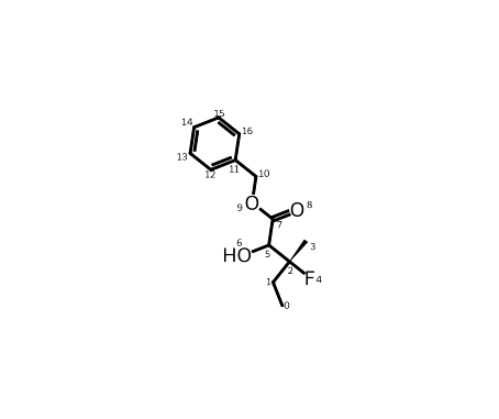 CC[C@@](C)(F)C(O)C(=O)OCc1ccccc1